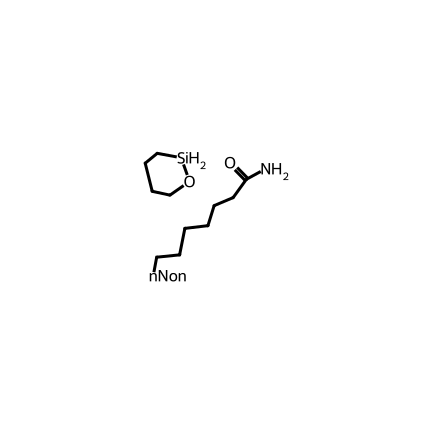 C1CC[SiH2]OC1.CCCCCCCCCCCCCCCC(N)=O